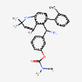 COc1ccccc1-c1ccc2c(c1C(N)c1cccc(OC(=O)N(C)C)c1)C(C)=CC(C)(C)N2